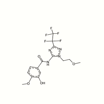 COCCn1nc(C(F)(F)C(F)(F)F)nc1NC(=O)c1ccc(OC)c(O)c1